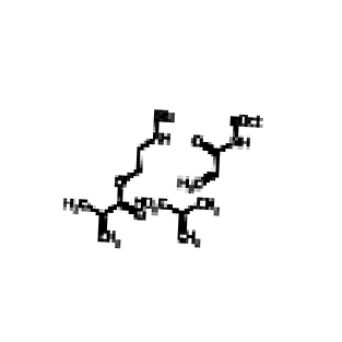 C=C(C)C(=O)O.C=C(C)C(=O)OCCNC(C)(C)C.C=CC(=O)NCCCCCCCC